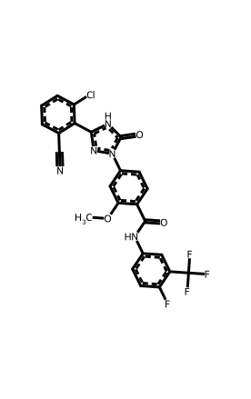 COc1cc(-n2nc(-c3c(Cl)cccc3C#N)[nH]c2=O)ccc1C(=O)Nc1ccc(F)c(C(F)(F)F)c1